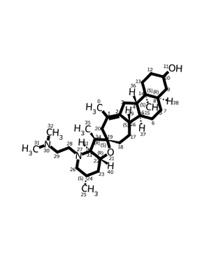 CC1=C2C[C@H]3[C@@H](CC[C@@H]4CC(O)CC[C@@]43C)[C@@H]2CC[C@@]2(C1)O[C@@H]1C[C@H](C)CN(CCN(C)C)[C@H]1[C@H]2C